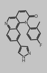 Cc1cc(F)ccc1-n1c(=O)ccc2cnc3ccc(-c4cn[nH]c4)cc3c21